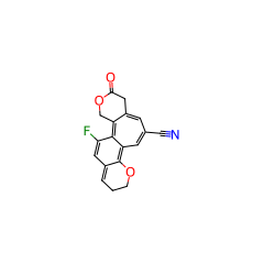 N#CC1=Cc2c3c(cc(F)c2=C2COC(=O)CC2=C1)=CCCO3